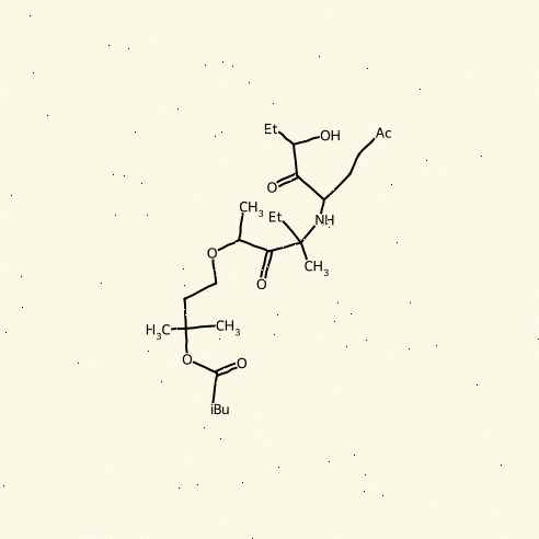 CCC(C)C(=O)OC(C)(C)CCOC(C)C(=O)C(C)(CC)NC(CCC(C)=O)C(=O)C(O)CC